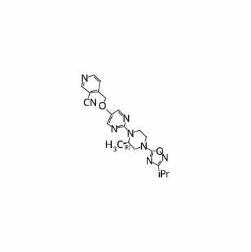 CC(C)c1noc(N2CCN(c3ncc(OCc4ccncc4C#N)cn3)[C@H](C)C2)n1